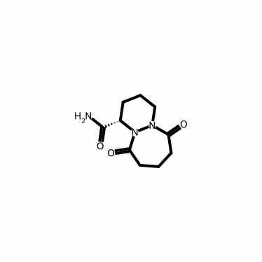 NC(=O)[C@@H]1CCCN2C(=O)CCCC(=O)N12